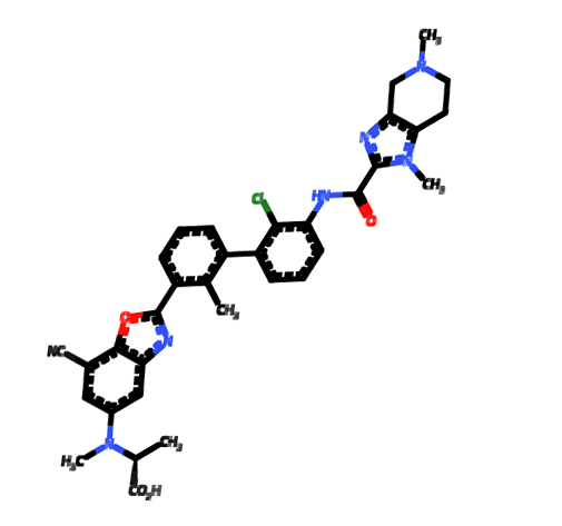 Cc1c(-c2nc3cc(N(C)[C@@H](C)C(=O)O)cc(C#N)c3o2)cccc1-c1cccc(NC(=O)c2nc3c(n2C)CCN(C)C3)c1Cl